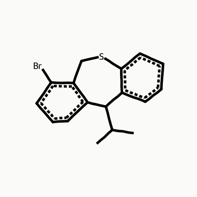 CC(C)C1c2ccccc2SCc2c(Br)cccc21